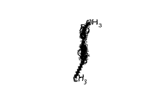 CCCCCCCCCCCCOc1ccc(C(=O)Oc2ccc(CC[C@H]3CC[C@H](OC(=O)[C@@H](F)CCCC)CC3)cc2)c(F)c1